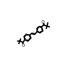 CC(C)(C)C(=O)c1ccc(/C=C/c2ccc(C(=O)C(C)(C)C)cc2)cc1